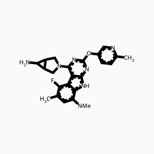 CNc1cc(C)c(F)c2c1[nH]c1nc(Oc3ccc(C)nc3)nc(N3CC4C(N)C4C3)c12